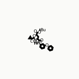 CCOC(=O)C1(C(=O)NC(CCC(=O)OC(C)(C)C)C(=O)Nc2cccc(Oc3ccccc3)c2)CC1